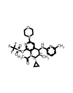 CC(=O)N1c2c(cc(N3CCOCC3)nc2OS(=O)(=O)C(F)(F)F)C(Nc2cccc(C)n2)[C@@H](C)[C@@H]1C1CC1